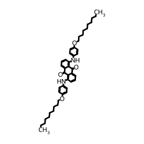 CCCCCCCCCCOc1ccc(Nc2cccc3c2C(=O)c2cccc(Nc4ccc(OCCCCCCCCCC)cc4)c2C3=O)cc1